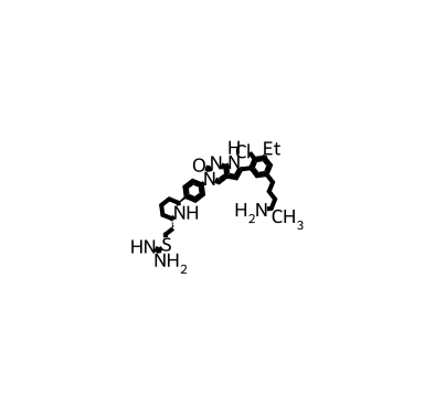 CCc1cc(CCC[C@H](C)N)cc(-c2cc3cn(-c4ccc([C@@H]5CCC[C@@H](CCSC(=N)N)N5)cc4)c(=O)nc3[nH]2)c1Cl